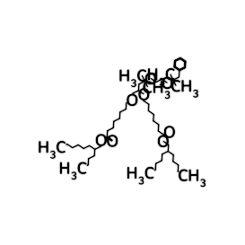 CCCCCCC(CCCC)COC(=O)CCCCCCCOCC(CC(C)(C)OCCOC(C)(C)Cc1ccccc1)OCCCCCCCC(=O)OCC(CCCCC)CCCCC